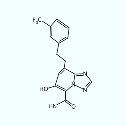 [NH]C(=O)c1c(O)cc(CCc2cccc(C(F)(F)F)c2)c2ncnn12